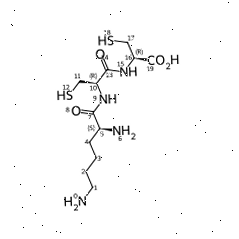 NCCCC[C@H](N)C(=O)N[C@@H](CS)C(=O)N[C@@H](CS)C(=O)O